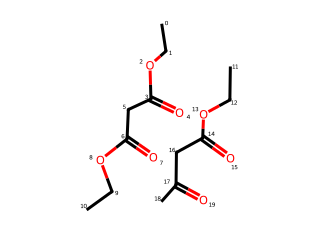 CCOC(=O)CC(=O)OCC.CCOC(=O)CC(C)=O